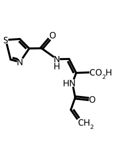 C=CC(=O)NC(=CNC(=O)c1cscn1)C(=O)O